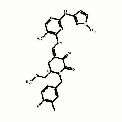 COC[C@H]1C/C(=C/Nc2nc(Nc3ccn(C)n3)ncc2C)C(=N)C(=O)N1Cc1ccc(F)c(F)c1